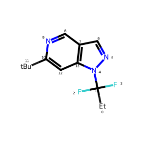 CCC(F)(F)n1ncc2cnc(C(C)(C)C)cc21